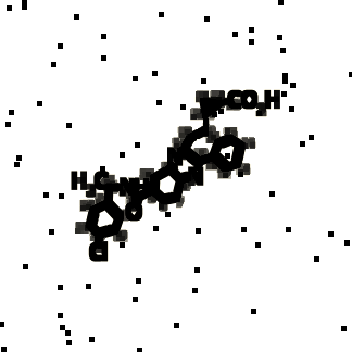 C[C@@H](NC(=O)c1ccc2nc(-c3ccccc3)c(CC[C@@H]3C[C@H]3C(=O)O)nc2c1)c1ccc(Cl)cc1